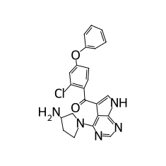 NC1CCN(c2ncnc3[nH]cc(C(=O)c4ccc(Oc5ccccc5)cc4Cl)c23)C1